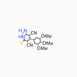 COc1cc(-c2c(C#N)c(N)[nH]c(=S)c2C#N)cc(OC)c1OC